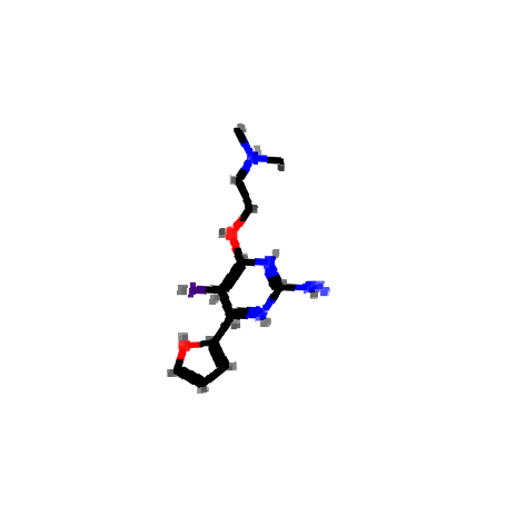 CN(C)CCOc1nc(N)nc(-c2ccco2)c1I